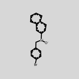 [O-][S+](Cc1ccc(Br)cc1)c1ccc2ccccc2c1